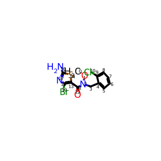 CON(Cc1ccccc1Cl)C(=O)c1sc(N)nc1Br